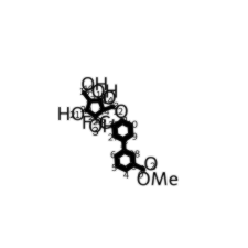 COC(=O)c1cccc(-c2ccc(OC3OC4(O)C(CO)C(O)C(O)C34)c(C(F)(F)F)c2)c1